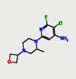 CC1CN(C2COC2)CCN1c1cc(N)c(Cl)c(F)n1